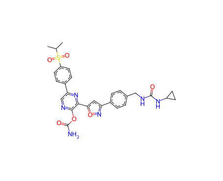 CC(C)S(=O)(=O)c1ccc(-c2cnc(OC(N)=O)c(-c3cc(-c4ccc(CNC(=O)NC5CC5)cc4)no3)n2)cc1